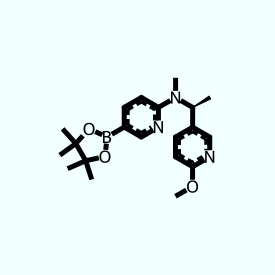 COc1ccc([C@H](C)N(C)c2ccc(B3OC(C)(C)C(C)(C)O3)cn2)cn1